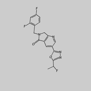 CC(F)c1nnc(-c2cnc3c(c2)C(=O)N(Cc2ccc(F)cc2F)C3)o1